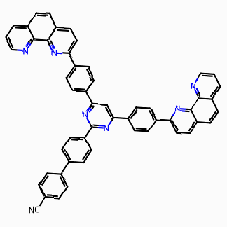 N#Cc1ccc(-c2ccc(-c3nc(-c4ccc(-c5ccc6ccc7cccnc7c6n5)cc4)cc(-c4ccc(-c5ccc6ccc7cccnc7c6n5)cc4)n3)cc2)cc1